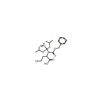 CC(C)SC([PH2]=S)(SC(C)C)N(C(=O)OCc1ccccc1)C(CCCl)C(=O)O